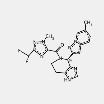 Cc1ccc2cc([C@H]3c4nc[nH]c4CCN3C(=O)c3nc(C(F)F)nn3C)nn2c1